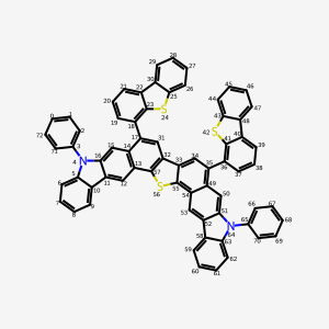 c1ccc(-n2c3ccccc3c3cc4c(cc32)c(-c2cccc3c2sc2ccccc23)cc2c3cc(-c5cccc6c5sc5ccccc56)c5cc6c(cc5c3sc42)c2ccccc2n6-c2ccccc2)cc1